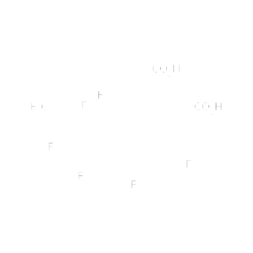 O=C(O)c1c(F)c(F)c(C(F)C(F)(F)C(F)(F)F)c(F)c1C(=O)O